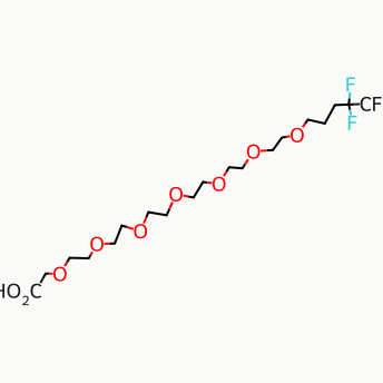 O=C(O)COCCOCCOCCOCCOCCOCCOCCCC(F)(F)C(F)(F)F